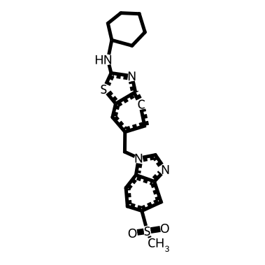 CS(=O)(=O)c1ccc2c(c1)ncn2Cc1ccc2nc(NC3CCCCC3)sc2c1